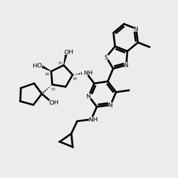 Cc1nc(NCC2CC2)nc(N[C@@H]2C[C@H](C3(O)CCCC3)[C@@H](O)[C@H]2O)c1-c1nc2c(C)nccc2s1